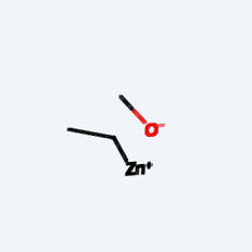 C[CH2][Zn+].C[O-]